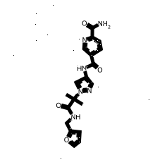 CC(C)(C(=O)NCc1ccco1)n1cc(NC(=O)c2ccc(C(N)=O)nc2)cn1